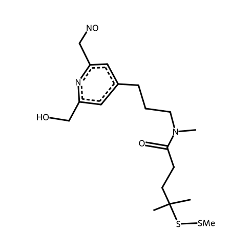 CSSC(C)(C)CCC(=O)N(C)CCCc1cc(CO)nc(CN=O)c1